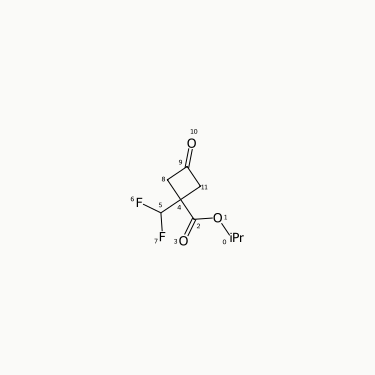 CC(C)OC(=O)C1(C(F)F)CC(=O)C1